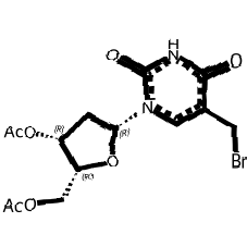 CC(=O)OC[C@H]1O[C@@H](n2cc(CBr)c(=O)[nH]c2=O)C[C@H]1OC(C)=O